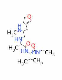 CCNC(=O)[C@@H](NC(=O)[C@H](C)NCC(CC1=COCC1)NC)C(C)C